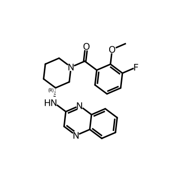 COc1c(F)cccc1C(=O)N1CCC[C@@H](Nc2cnc3ccccc3n2)C1